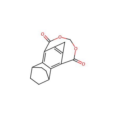 O=C1OCOC(=O)c2c3c(c1c1c2C2CCC1CC2)C3